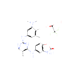 Cc1cnc(Nc2cc(C)c(C)c(N(C)C)c2)nc1Nc1ccc2oc(=O)[nH]c2c1.O=C(O)C(F)(F)F